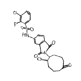 O=C1CCCC(=O)C(N2C(=O)c3ccc(NS(=O)(=O)c4cccc(Cl)c4F)cc3C2=O)CC1